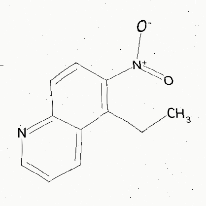 CCc1c([N+](=O)[O-])ccc2ncccc12